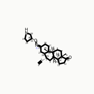 C#C[C@H]1C[C@@H]2[C@H](CC[C@]3(C)C(=O)CC[C@@H]23)[C@@]2(C)CC/C(=N\O[C@@H]3CCNC3)CC12